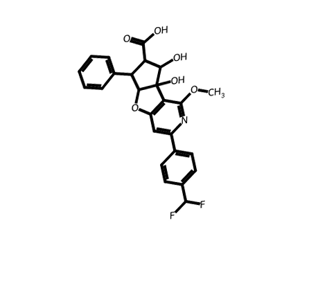 COc1nc(-c2ccc(C(F)F)cc2)cc2c1C1(O)C(O)C(C(=O)O)C(c3ccccc3)C1O2